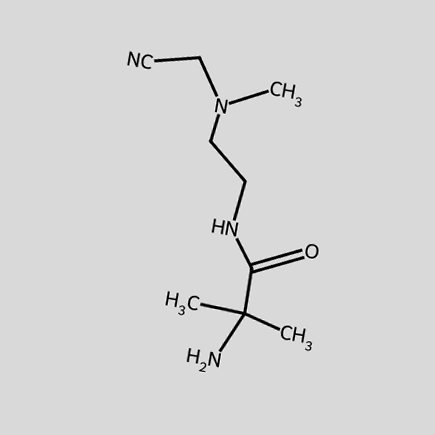 CN(CC#N)CCNC(=O)C(C)(C)N